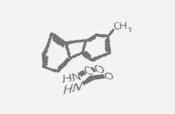 Cc1ccc2c(c1)-c1ccccc1-2.N=C=O.N=C=O